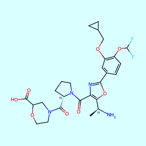 C[C@H](N)c1oc(-c2ccc(OC(F)F)c(OCC3CC3)c2)nc1C(=O)N1CCC[C@H]1C(=O)N1CCOC(C(=O)O)C1